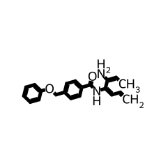 C=C/C=C(NC(=O)c1ccc(COc2ccccc2)cc1)\C(N)=C/C